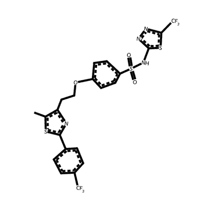 Cc1sc(-c2ccc(C(F)(F)F)cc2)nc1CCOc1ccc(S(=O)(=O)Nc2nnc(C(F)(F)F)s2)cc1